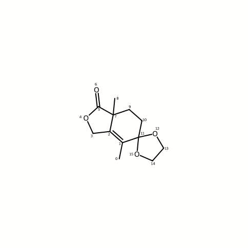 CC1=C2COC(=O)C2(C)CCC12OCCO2